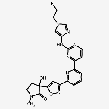 CN1CCC(O)(c2cc(-c3cccc(-c4ccnc(Nc5cn(CCF)cn5)n4)n3)no2)C1=O